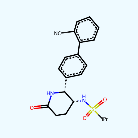 CC(C)S(=O)(=O)N[C@@H]1CCC(=O)N[C@@H]1c1ccc(-c2ccccc2C#N)cc1